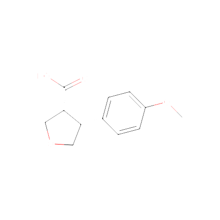 COc1ccc([C@@H]2COC[C@@H]2C(=O)O)cc1